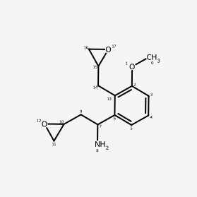 COc1cccc(C(N)CC2CO2)c1CC1CO1